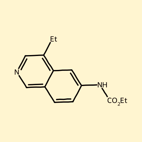 CCOC(=O)Nc1ccc2cncc(CC)c2c1